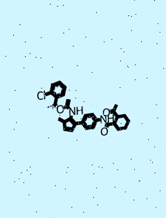 C=C(NC1=C(c2ccc(NC(=O)C3CCCCC3C(C)=O)cc2)C=CC1C)O[C@H](C)c1ccccc1Cl